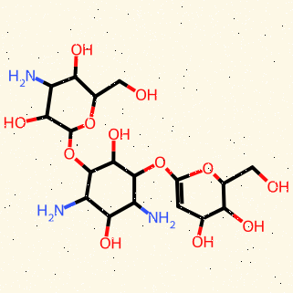 NC1C(O)C(CO)OC(OC2C(N)C(O)C(N)C(OC3=CC(O)C(O)C(CO)O3)C2O)C1O